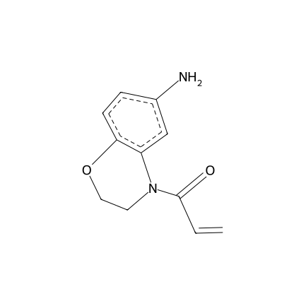 C=CC(=O)N1CCOc2ccc(N)cc21